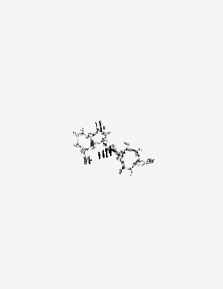 Brc1ccc(Nc2c[nH]c3cccc(Br)c23)cc1